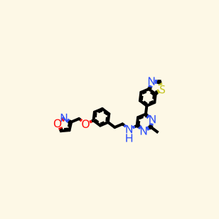 Cc1nc(NCCc2cccc(OCc3ccon3)c2)cc(-c2ccc3ncsc3c2)n1